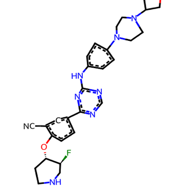 N#Cc1cc(-c2ncnc(Nc3ccc(N4CCN(C5COC5)CC4)cc3)n2)ccc1O[C@H]1CCNC[C@@H]1F